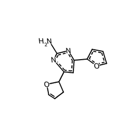 Nc1nc(-c2ccco2)cc(C2CC=CO2)n1